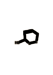 OC1C=CCSS1